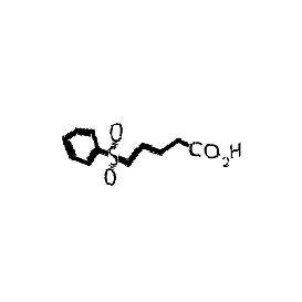 O=C(O)CCCCS(=O)(=O)c1ccccc1